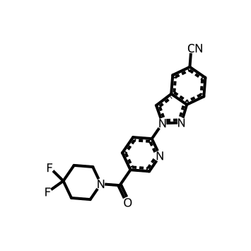 N#Cc1ccc2nn(-c3ccc(C(=O)N4CCC(F)(F)CC4)cn3)cc2c1